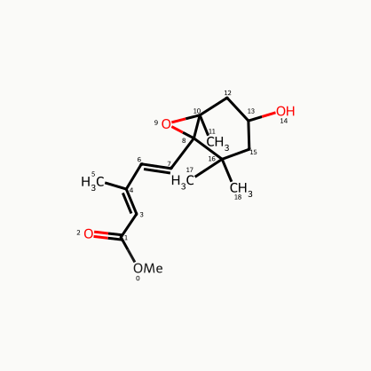 COC(=O)C=C(C)C=CC12OC1(C)CC(O)CC2(C)C